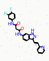 O=C(CC(=O)Nc1ccc2c(/C=C/c3ccccn3)n[nH]c2c1)Nc1ccc(F)c(F)c1